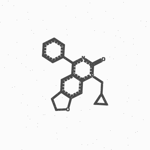 O=c1nc(-c2ccccc2)c2cc3c(cc2n1CC1CC1)OCC3